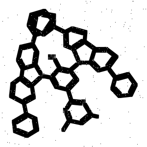 Cc1cc(C)nc(-c2cc(-n3c4cc(-c5ccccc5)ccc4c4ccc(-c5ccccc5)cc43)c(C#N)c(-n3c4cc(-c5ccccc5)ccc4c4ccc(-c5ccccc5)cc43)c2)n1